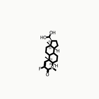 CN1C(=O)C(F)=C[C@]2(C)C3CC[C@]4(C)[C@@H](C(O)O)CC[C@H]4C3CC[C@@H]12